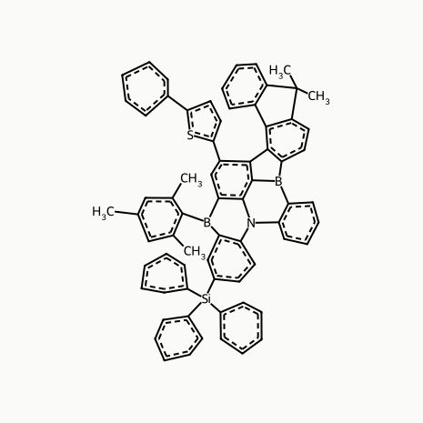 Cc1cc(C)c(B2c3cc([Si](c4ccccc4)(c4ccccc4)c4ccccc4)ccc3N3c4ccccc4B4c5ccc6c(c5-c5c(-c7ccc(-c8ccccc8)s7)cc2c3c54)-c2ccccc2C6(C)C)c(C)c1